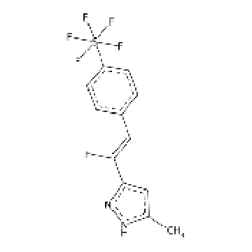 Cc1cc(C(F)=Cc2ccc(S(F)(F)(F)(F)F)cc2)n[nH]1